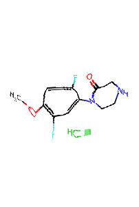 COc1cc(F)c(N2CCNCC2=O)cc1F.Cl